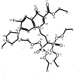 CCOOP(=O)(OOCC)C(CCn1cc(C(=O)OCC)c(=O)c2cc(F)c(N3CCN(C)CC3)cc21)P(=O)(OOCC)OOCC